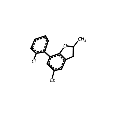 CCc1cc2c(c(-c3ccccc3Cl)c1)OC(C)C2